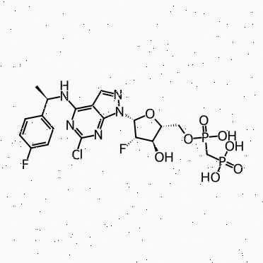 C[C@@H](Nc1nc(Cl)nc2c1cnn2[C@@H]1O[C@H](COP(=O)(O)CP(=O)(O)O)[C@@H](O)[C@@H]1F)c1ccc(F)cc1